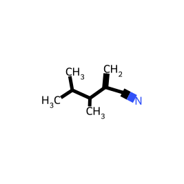 C=C(C#N)C(C)C(C)C